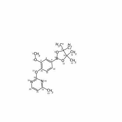 COc1cc(B2OC(C)(C)C(C)(C)O2)ccc1Oc1nccc(C)n1